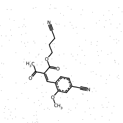 COc1cc(C#N)ccc1/C=C(/C(C)=O)C(=O)OCCCC#N